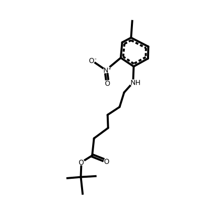 Cc1ccc(NCCCCCC(=O)OC(C)(C)C)c([N+](=O)[O-])c1